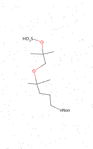 CCCCCCCCCCCCC(C)(C)OCC(C)(C)OS(=O)(=O)O